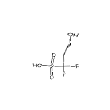 O=S(=O)(O)C(F)(F)CCO